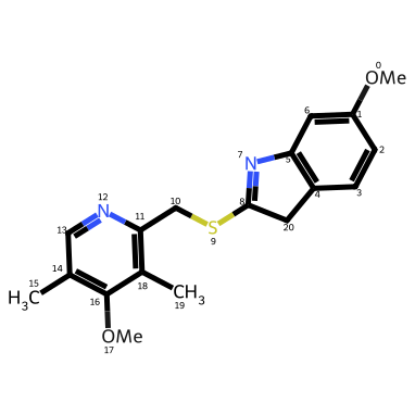 COc1ccc2c(c1)N=C(SCc1ncc(C)c(OC)c1C)C2